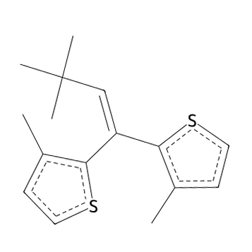 Cc1ccsc1C(=CC(C)(C)C)c1sccc1C